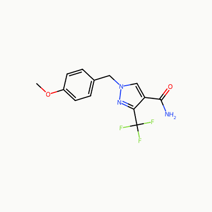 COc1ccc(Cn2cc(C(N)=O)c(C(F)(F)F)n2)cc1